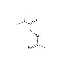 CC(=N)NCC(=O)C(C)C